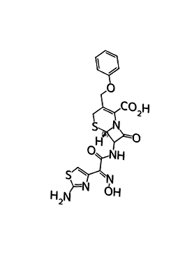 Nc1nc(C(=NO)C(=O)NC2C(=O)N3C(C(=O)O)=C(COc4ccccc4)CS[C@@H]23)cs1